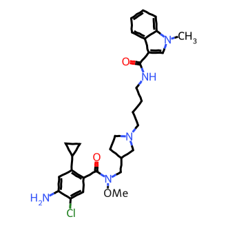 CON(CC1CCN(CCCCNC(=O)c2cn(C)c3ccccc23)C1)C(=O)c1cc(Cl)c(N)cc1C1CC1